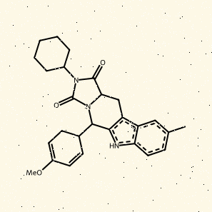 COC1=CCC(C2c3[nH]c4ccc(C)cc4c3CC3C(=O)N(C4CCCCC4)C(=O)N32)C=C1